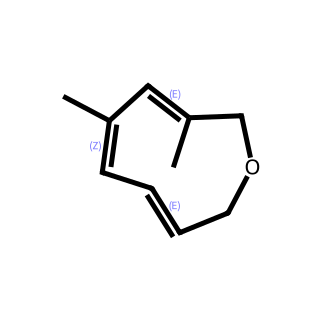 CC1=C/C=C/COC\C(C)=C\1